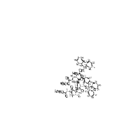 COC(=O)CNC(=O)C1(NC(=O)[C@@H](CSC(c2ccccc2)(c2ccccc2)c2ccccc2)NC(=O)[C@@H](CCC(=O)OC(C)(C)C)NC(=O)OCC2c3ccccc3-c3ccccc32)CCC1